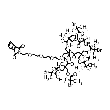 CC(COC(=O)C(C)(C)Br)(COC(=O)C(C)(C)Br)CC(=O)NC(CNC(=O)C(C)(COC(=O)C(C)(C)Br)COC(=O)C(C)(C)Br)(CNC(=O)C(C)(COC(=O)C(C)(C)Br)COC(=O)C(C)(C)Br)COCCOCCOCCOCCN1C(=O)C2C3C=CC(O3)C2C1=O